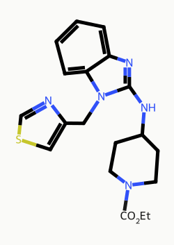 CCOC(=O)N1CCC(Nc2nc3ccccc3n2Cc2cscn2)CC1